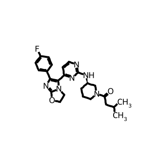 CC(C)CC(=O)N1CCC[C@@H](Nc2nccc(-c3c(-c4ccc(F)cc4)nc4n3CCO4)n2)C1